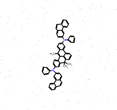 Cc1c2c3c(cccc3c3cc(N(c4ccccc4)c4ccc5ccc6ccccc6c5c4)ccc13)C(C)(C)c1cc(N(c3ccccc3)c3ccc4ccc5ccccc5c4c3)ccc1-2